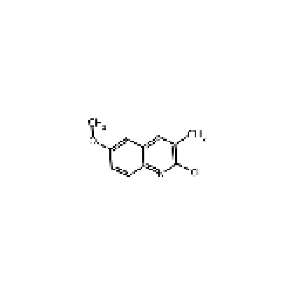 [CH2]c1cc2cc(OC)ccc2nc1Cl